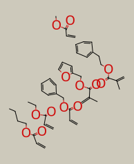 C=C(C)C(=O)OCCc1ccccc1.C=C(C)C(=O)OCc1ccco1.C=CC(=O)OC.C=CC(=O)OCC.C=CC(=O)OCCCC.C=CC(=O)OCc1ccccc1